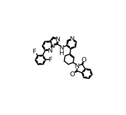 O=C1c2ccccc2C(=O)N1C1C=C(c2ccncc2Nc2ncc3ccc(-c4c(F)cccc4F)nn23)CCC1